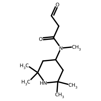 CN(C(=O)CC=O)C1CC(C)(C)NC(C)(C)C1